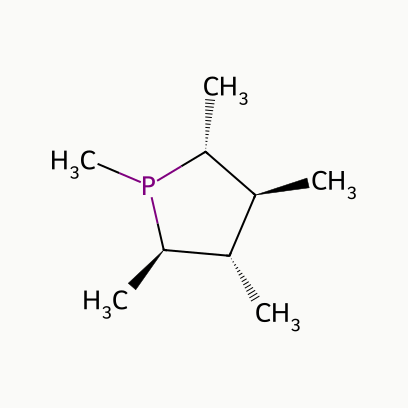 C[C@H]1[C@H](C)[C@@H](C)P(C)[C@@H]1C